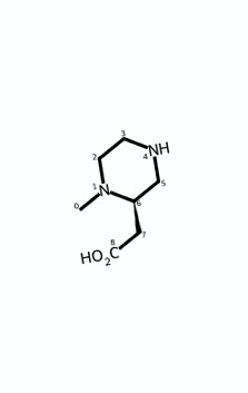 CN1CCNC[C@H]1CC(=O)O